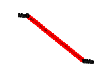 COCCOOCCOOCCOOCCOOCCOOCCOOCCOOCCOOCCOOCCOOCCOOCCOOCCOOCCOOCCOOCCOOCCOOCCOOCCOOCCOOCCOOCCOOCCOOCCOOCCOC